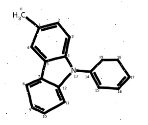 Cc1ccc2c(c1)c1ccccc1n2C1=CC=CCC1